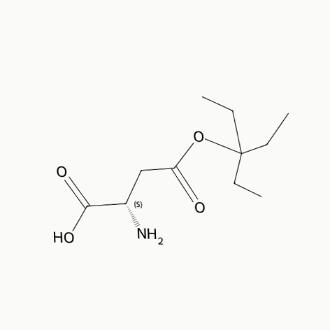 CCC(CC)(CC)OC(=O)C[C@H](N)C(=O)O